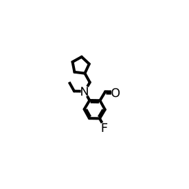 CCN(CC1CCCC1)c1ccc(F)cc1C=O